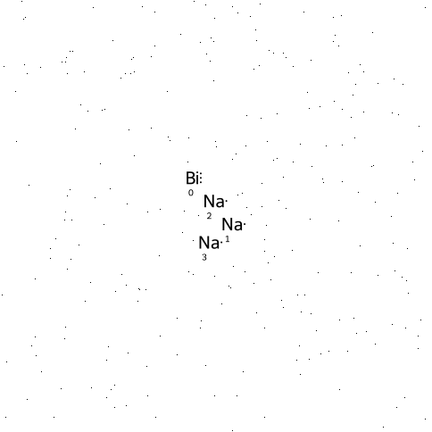 [Bi].[Na].[Na].[Na]